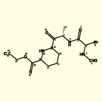 CC(C)C(NC=O)C(=O)N[C@@H](C)C(=O)N1CCCC(C(=O)OCC(Cl)(Cl)Cl)N1